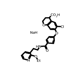 CCOc1ncccc1CCNC(=O)c1ccc(Oc2cc3c(cc2Cl)C(C(=O)O)CCO3)cc1.[NaH]